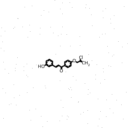 C=C(Cl)COc1ccc(C(=O)/C=C/c2cccc(O)c2)cc1